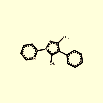 Cc1nn(-c2ccccn2)c(C)c1-c1ccccc1